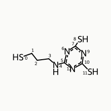 SCCCNc1nc(S)nc(S)n1